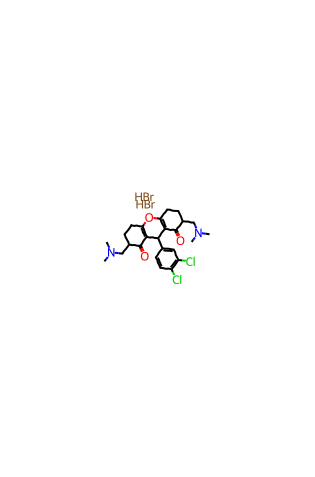 Br.Br.CN(C)CC1CCC2=C(C1=O)C(c1ccc(Cl)c(Cl)c1)C1=C(CCC(CN(C)C)C1=O)O2